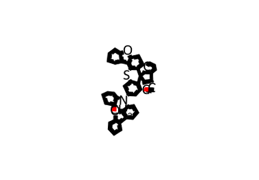 Cc1ccccc1N(c1ccc2c(c1)Sc1c(ccc3oc4ccccc4c13)C21c2ccccc2-c2ccccc21)c1cccc2c1oc1ccccc12